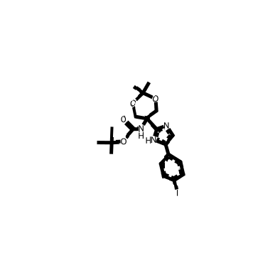 CC(C)(C)OC(=O)NC1(c2ncc(-c3ccc(I)cc3)[nH]2)COC(C)(C)OC1